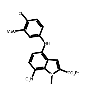 CCOC(=O)c1cc2c(Nc3ccc(Cl)c(OC)c3)ccc([N+](=O)[O-])c2n1C